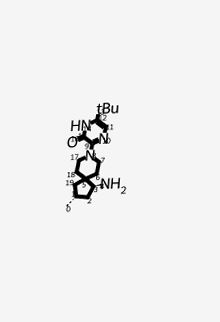 C[C@H]1C[C@@H](N)C2(CCN(c3ncc(C(C)(C)C)[nH]c3=O)CC2)C1